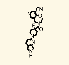 N#Cc1cncc2c1OCCN(C(=O)C1(F)CCN(c3ccc4c(n3)CNC4)CC1)C2